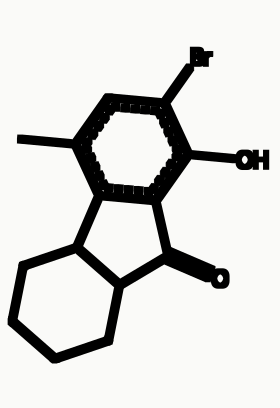 Cc1cc(Br)c(O)c2c1C1CCCCC1C2=O